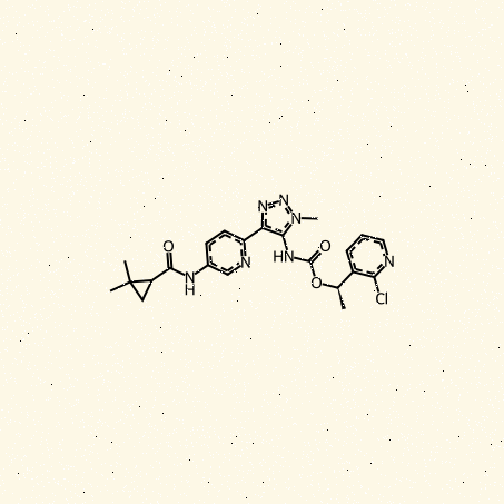 C[C@@H](OC(=O)Nc1c(-c2ccc(NC(=O)C3CC3(C)C)cn2)nnn1C)c1cccnc1Cl